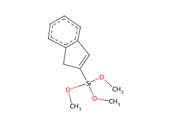 CO[Si](OC)(OC)C1=Cc2ccccc2C1